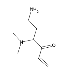 C=CC(=O)C(CCN)N(C)C